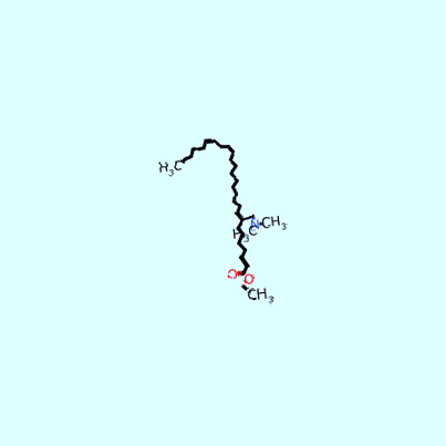 CCCCC/C=C\C/C=C\CCCCCCCCCC(CCCCCCC(=O)OCC)CN(C)C